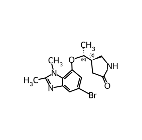 Cc1nc2cc(Br)cc(O[C@H](C)[C@H]3CNC(=O)C3)c2n1C